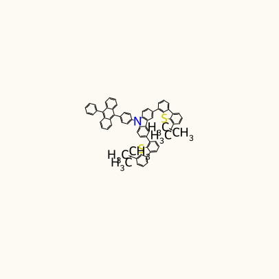 CC(C)(C)c1cccc2c1sc1c(-c3ccc4c(c3)c3cc(-c5cccc6c5sc5c(C(C)(C)C)cccc56)ccc3n4-c3ccc(-c4c5ccccc5c(-c5ccccc5)c5ccccc45)cc3)cccc12